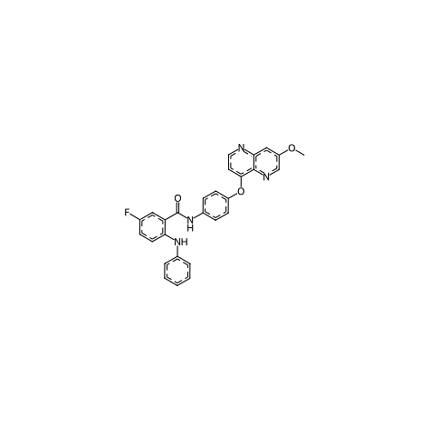 COc1cnc2c(Oc3ccc(NC(=O)c4cc(F)ccc4Nc4ccccc4)cc3)ccnc2c1